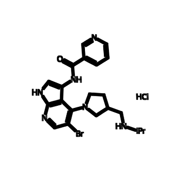 CC(C)NCC1CCN(c2c(Br)cnc3[nH]cc(NC(=O)c4cccnc4)c23)C1.Cl